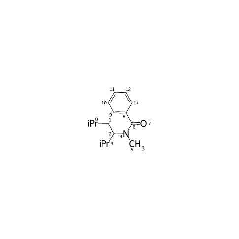 CC(C)CC(C(C)C)N(C)C(=O)c1ccccc1